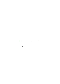 Br.Cl.Cl.[Cr].[Ni]